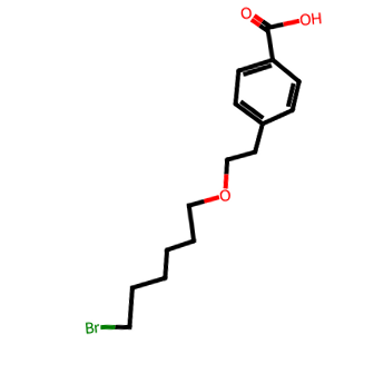 O=C(O)c1ccc(CCOCCCCCCBr)cc1